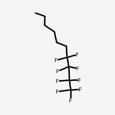 [CH2]CCCCCC(F)(F)C(F)(F)C(F)(F)C(F)(F)F